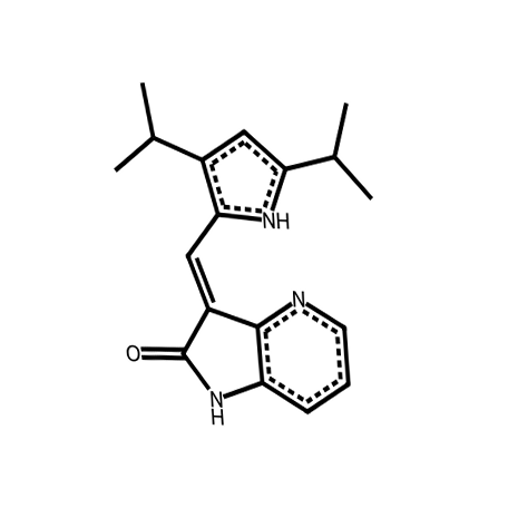 CC(C)c1cc(C(C)C)c(C=C2C(=O)Nc3cccnc32)[nH]1